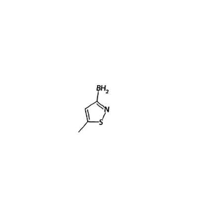 Bc1cc(C)sn1